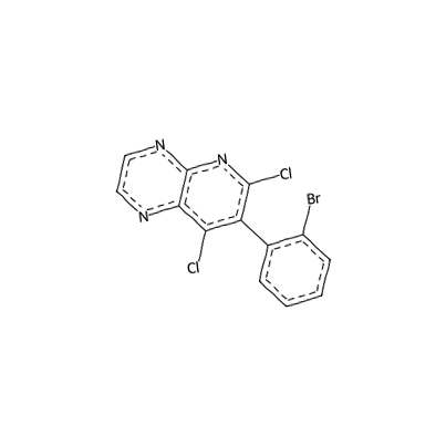 Clc1nc2nccnc2c(Cl)c1-c1ccccc1Br